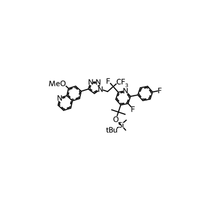 COc1cc(-c2cn(CC(F)(c3cc(C(C)(C)O[Si](C)(C)C(C)(C)C)c(F)c(-c4ccc(F)cc4)n3)C(F)(F)F)nn2)cc2cccnc12